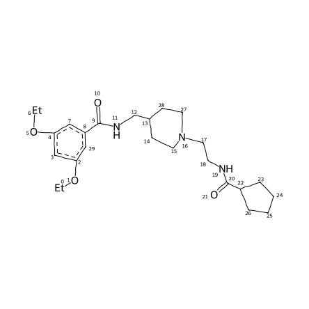 CCOc1cc(OCC)cc(C(=O)NCC2CCN(CCNC(=O)C3CCCC3)CC2)c1